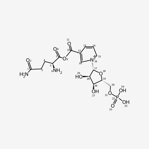 NC(=O)CC[C@H](N)C(=O)OC(=O)c1ccc[n+]([C@@H]2O[C@H](COP(=O)(O)O)[C@@H](O)[C@H]2O)c1